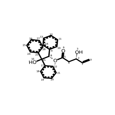 C=C[C@@H](O)CC(=O)O[C@@H](c1ccccc1)C(O)(c1ccccc1)c1ccccc1